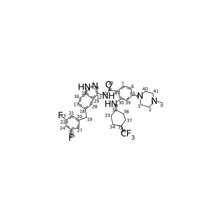 CN1CCN(c2ccc(C(=O)Nc3n[nH]c4ccc(Cc5cc(F)cc(F)c5)cc34)c(N[C@H]3CC[C@H](C(F)(F)F)CC3)c2)CC1